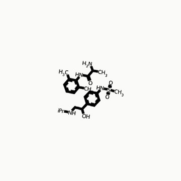 CC(C)NCC(O)c1ccc(NS(C)(=O)=O)cc1.Cc1cccc(C)c1NC(=O)C(C)N